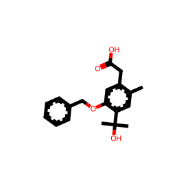 Cc1cc(C(C)(C)O)c(OCc2ccccc2)cc1CC(=O)O